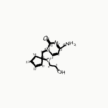 Nc1ccn(CC2(OCCO)C=CCC2)c(=O)n1